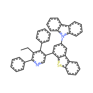 CCc1c(-c2ccccc2)ncc(-c2cc(-n3c4ccccc4c4ccccc43)cc3c2sc2ccccc23)c1-c1ccccc1